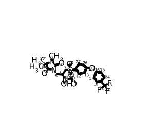 CN1C(=O)N(CC(CS(=O)(=O)c2ccc(Oc3ccc(C(F)(F)F)cc3)cc2)N(O)C=O)C(=O)C1(C)C